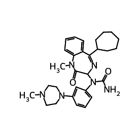 CN1CCN(c2cccc(N(C(N)=O)C3N=C(C4CCCCCC4)c4ccccc4N(C)C3=O)c2)CC1